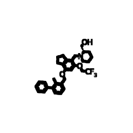 Cc1c(COc2cc(OCC(F)(F)F)c(CN3CCCC[C@H]3CO)c3c2CCC3)cccc1-c1ccccc1